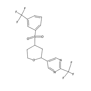 O=S(=O)(c1cccc(C(F)(F)F)c1)C1CCOC(c2cnc(C(F)(F)F)nc2)C1